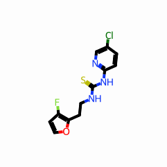 Fc1ccoc1CCNC(=S)Nc1ccc(Cl)cn1